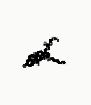 CCCCCOC(=O)O[C@]1(C(=O)COC(=O)OCC)CC[C@H]2[C@@H]3CCC4=CC(=O)C=C[C@]4(C)[C@H]3C(=O)C[C@@]21C